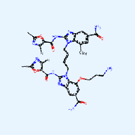 CCc1nc(C)oc1C(=O)Nc1nc2cc(C(N)=O)cc(OC)c2n1CC=CCn1c(NC(=O)c2oc(C)nc2CC)nc2cc(C(N)=O)cc(OCCCN)c21